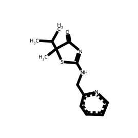 CC(C)C1(C)SC(NCc2ccccn2)=NC1=O